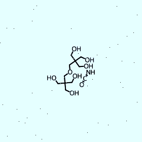 N=C=O.OCC(CO)(CO)COCC(CO)(CO)CO